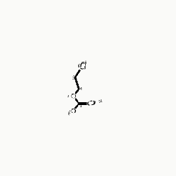 [O]C(=O)OCCCl